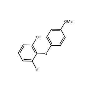 COc1ccc(Sc2c(O)cccc2Br)cc1